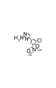 C=CC(=O)N1CC2(CC2)OCC1c1cc(Cl)cc(-c2ccnc(N)n2)c1